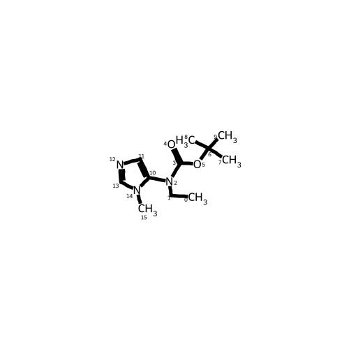 CCN(C(=O)OC(C)(C)C)c1cncn1C